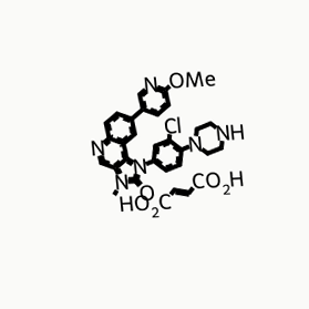 COc1ccc(-c2ccc3ncc4c(c3c2)n(-c2ccc(N3CCNCC3)c(Cl)c2)c(=O)n4C)cn1.O=C(O)C=CC(=O)O